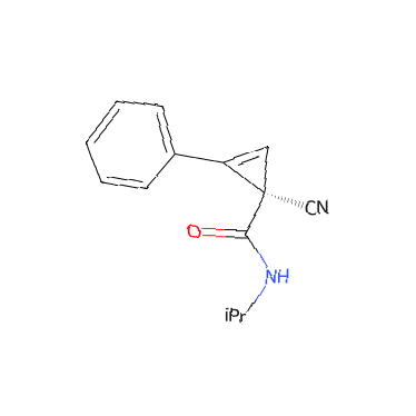 CC(C)NC(=O)[C@]1(C#N)C=C1c1ccccc1